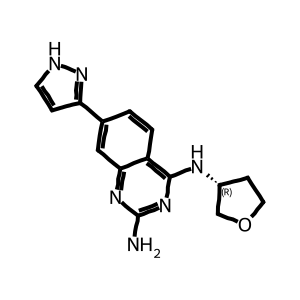 Nc1nc(N[C@@H]2CCOC2)c2ccc(-c3cc[nH]n3)cc2n1